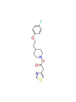 O=C(Cc1cscn1)ON1CCC(CCOc2ccc(F)cc2)CC1